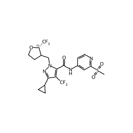 CS(=O)(=O)c1cc(NC(=O)c2c(C(F)(F)F)c(C3CC3)nn2CC2CCO[C@@H]2C(F)(F)F)ccn1